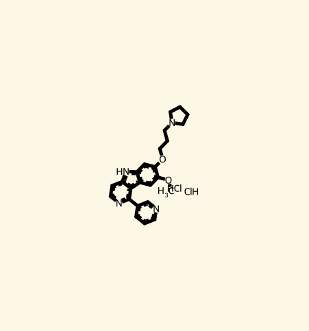 COc1cc2c(cc1OCCCN1CCCC1)[nH]c1ccnc(-c3cccnc3)c12.Cl.Cl